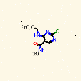 CCOC(=O)CNc1nc(Cl)ncc1C(=O)NC(C)(C)C